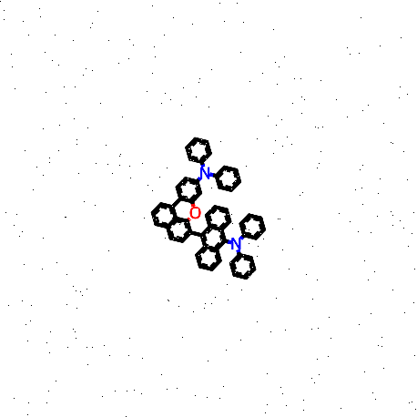 c1ccc(N(c2ccccc2)c2ccc3c(c2)Oc2c(-c4c5ccccc5c(N(c5ccccc5)c5ccccc5)c5ccccc45)ccc4cccc-3c24)cc1